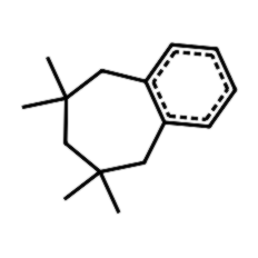 CC1(C)Cc2ccccc2CC(C)(C)C1